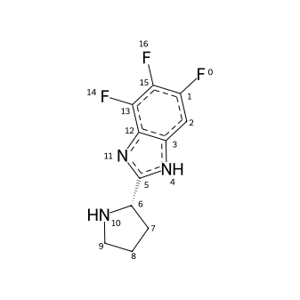 Fc1cc2[nH]c([C@@H]3CCCN3)nc2c(F)c1F